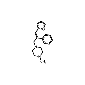 CN1CCN(C/C(=C/c2ccco2)c2ccccc2)CC1